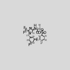 Cc1ccc(S(=O)(=O)OC(C)C(=O)Nc2cn(Cc3cc(F)cc(F)c3)c(C(F)F)n2)cc1